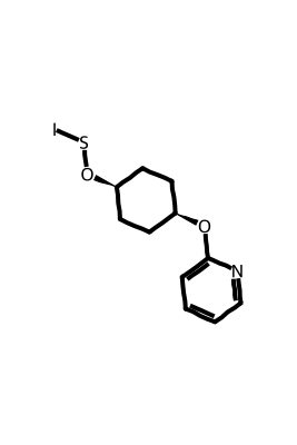 ISO[C@H]1CC[C@@H](Oc2ccccn2)CC1